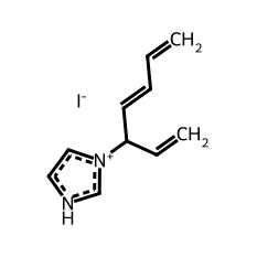 C=CC=CC(C=C)[n+]1cc[nH]c1.[I-]